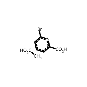 CC(=O)O.O=C(O)c1cccc(Br)n1